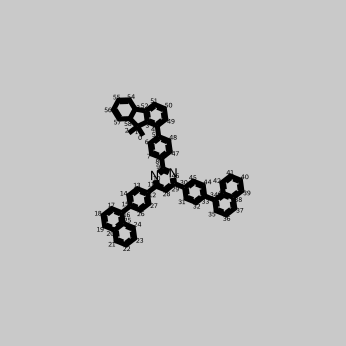 CC1(C)c2c(-c3ccc(-c4nc(-c5ccc(-c6cccc7ccccc67)cc5)cc(-c5ccc(-c6cccc7ccccc67)cc5)n4)cc3)cccc2C2C=CC=CC21